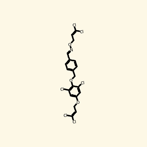 ClC(Cl)=CCO/N=C/c1ccc(COc2c(Cl)cc(OCC=C(Cl)Cl)cc2Cl)cc1